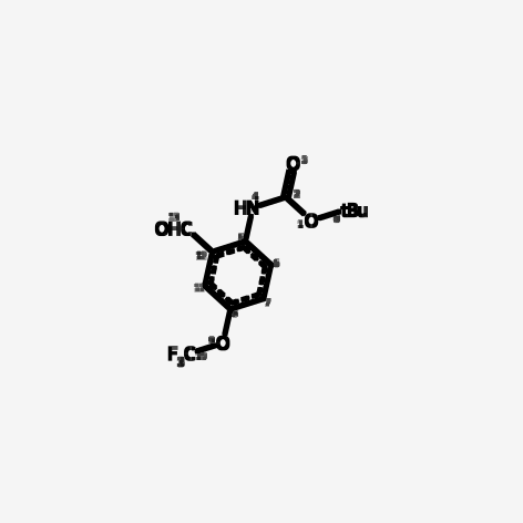 CC(C)(C)OC(=O)Nc1ccc(OC(F)(F)F)cc1C=O